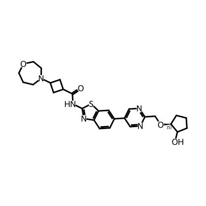 O=C(Nc1nc2ccc(-c3cnc(CO[C@H]4CCCC4O)nc3)cc2s1)C1CC(N2CCCOCC2)C1